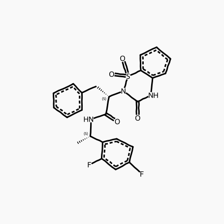 C[C@H](NC(=O)[C@H](Cc1ccccc1)N1C(=O)Nc2ccccc2S1(=O)=O)c1ccc(F)cc1F